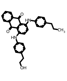 CCCc1ccc(Nc2ccc(Nc3ccc(CCO)cc3)c3c2C(=O)c2ccccc2C3=O)cc1